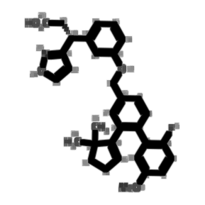 COc1ccc(F)c(-c2ccc(COc3cccc([C@@H](CC(=O)O)c4ccon4)c3)cc2C2=CCCC2(C)C)c1